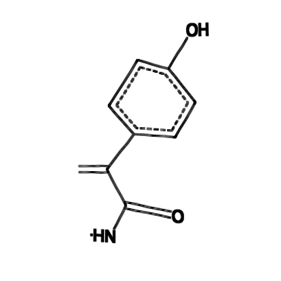 C=C(C([NH])=O)c1ccc(O)cc1